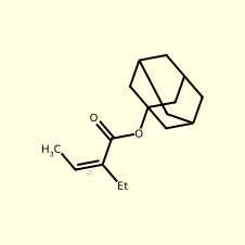 C/C=C(/CC)C(=O)OC12CC3CC(CC(C3)C1)C2